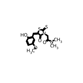 COc1ccc(O)c(C=C2SC(=S)N(CC(=O)N(C)C)C2=O)c1